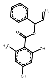 C=CC(OC(=O)c1c(C)cc(O)cc1O)c1ccccc1